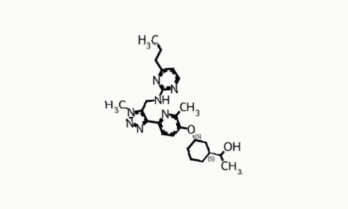 CCCc1ccnc(NCc2c(-c3ccc(O[C@H]4CCC[C@H](C(C)O)C4)c(C)n3)nnn2C)n1